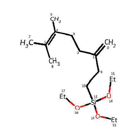 C=C(CCC(C)=C(C)C)CC[Si](OCC)(OCC)OCC